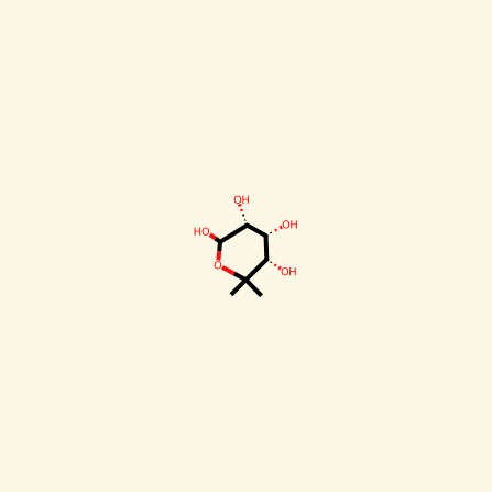 CC1(C)OC(O)[C@H](O)[C@H](O)[C@@H]1O